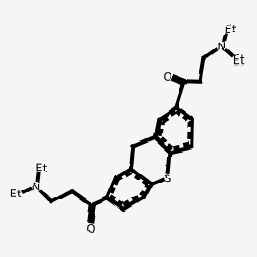 CCN(CC)CCC(=O)c1ccc2c(c1)Cc1cc(C(=O)CCN(CC)CC)ccc1S2